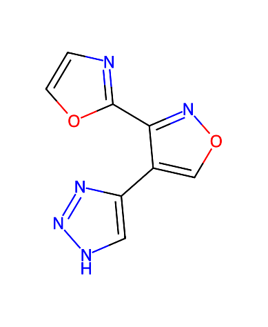 c1coc(-c2nocc2-c2c[nH]nn2)n1